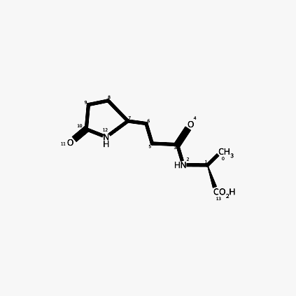 C[C@H](NC(=O)CCC1CCC(=O)N1)C(=O)O